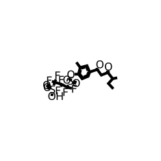 CCC(C)C(=O)CC(=O)c1ccc(OS(=O)(=O)C(F)(F)C(F)(F)C(F)(F)S(=O)(=O)O)c(C)c1